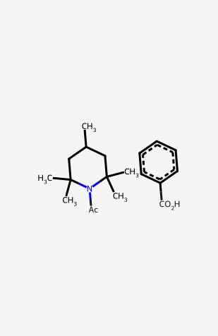 CC(=O)N1C(C)(C)CC(C)CC1(C)C.O=C(O)c1ccccc1